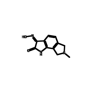 CN1Cc2ccc3c(c2C1)NC(=O)/C3=N\O